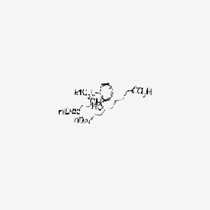 CCCCCCCCCCCCCCCCCC(=O)O.CCCCCCCCCCCCO.CCOC(=O)c1ccccc1O